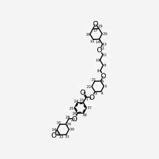 O=C(OC1CCC(OCCCCOCC2CCC3OC3C2)CC1)c1ccc(OCC2CCC3OC3C2)cc1